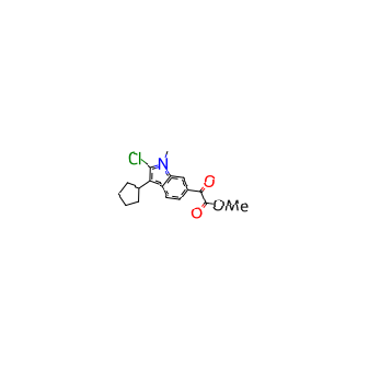 COC(=O)C(=O)c1ccc2c(C3CCCC3)c(Cl)n(C)c2c1